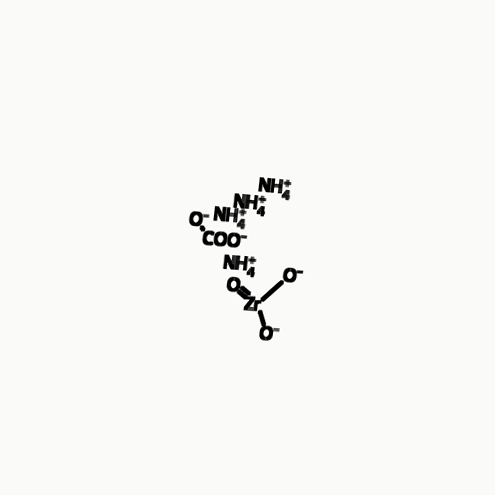 O=C([O-])[O-].[NH4+].[NH4+].[NH4+].[NH4+].[O]=[Zr]([O-])[O-]